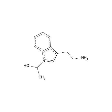 CC(O)n1cc(CCN)c2ccccc21